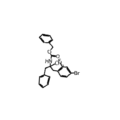 CC(Cc1ccccc1)(Cc1ccc(Br)cc1F)NC(=O)OCc1ccccc1